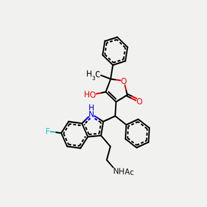 CC(=O)NCCc1c(C(C2=C(O)C(C)(c3ccccc3)OC2=O)c2ccccc2)[nH]c2cc(F)ccc12